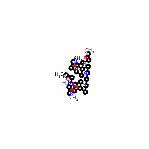 C/C(=C\C=C(/N)c1cccc2c1oc1nc(C)ccc12)c1ccccc1-c1cc(-c2ccccc2-c2ccc(-c3ccc(-c4ccc(-c5ccccc5-c5cc(-c6ccccc6-c6ccc(-c7cccc8c7oc7nc(C)ccc78)nc6)cc(-c6ccccc6-c6ccc(-c7cccc8c7oc7nc(C)ccc78)nc6)c5)cn4)cc3)nc2)cc(-c2ccccc2-c2ccc(-c3cccc4c3oc3nc(C)ccc34)nc2)c1